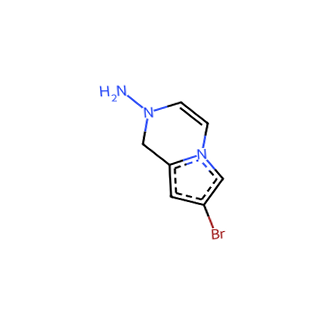 NN1C=Cn2cc(Br)cc2C1